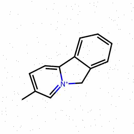 Cc1ccc2[n+](c1)Cc1ccccc1-2